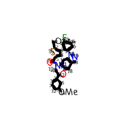 COCc1ccc(C(=O)N[C@@H](C)[C@@H](Oc2ccc3c(cnn3-c3ccc(F)cc3)c2)c2cccc(OC)c2)s1